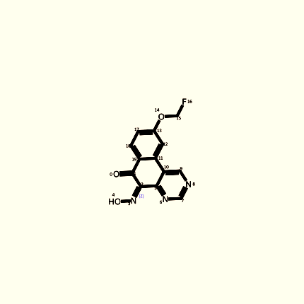 O=C1/C(=N\O)c2ncncc2-c2cc(OCF)ccc21